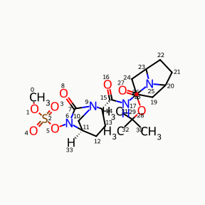 COS(=O)(=O)ON1C(=O)N2C[C@H]1CC[C@H]2C(=O)NC1CC2CCC(C1)N2C(=O)OC(C)(C)C